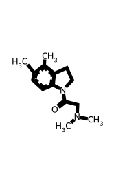 Cc1ccc2c(c1C)CCN2C(=O)CN(C)C